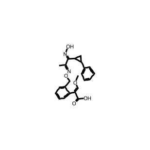 CO/C=C(/C(=O)O)c1ccccc1CO/N=C(C)/C(=N/O)C1CC1c1ccccc1